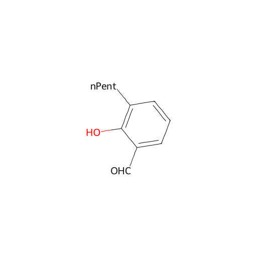 CCCCCc1cccc(C=O)c1O